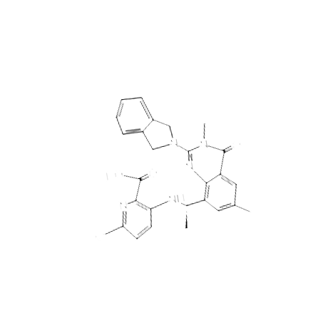 Cc1cc([C@@H](C)Nc2ccc(Cl)nc2C(=O)O)c2nc(N3Cc4ccccc4C3)n(C)c(=O)c2c1